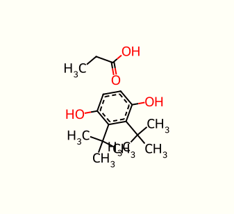 CC(C)(C)c1c(O)ccc(O)c1C(C)(C)C.CCC(=O)O